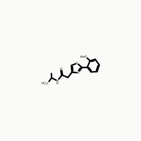 COc1ccccc1-c1nc(CC(=O)NC(C)C(=O)O)cs1